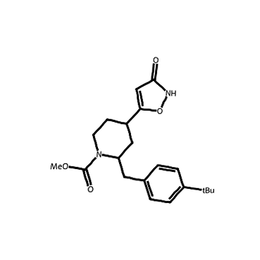 COC(=O)N1CCC(c2cc(=O)[nH]o2)CC1Cc1ccc(C(C)(C)C)cc1